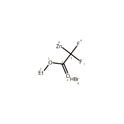 Br.CCOC(=O)[C](F)(F)[Zn]